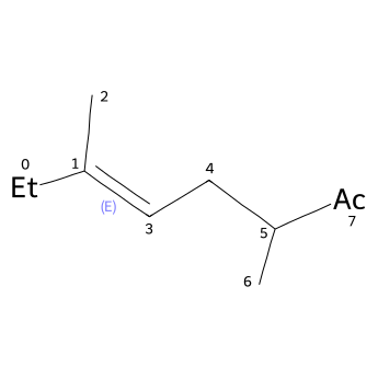 CC/C(C)=C/CC(C)C(C)=O